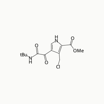 COC(=O)c1[nH]cc(C(=O)C(=O)NC(C)(C)C)c1CCl